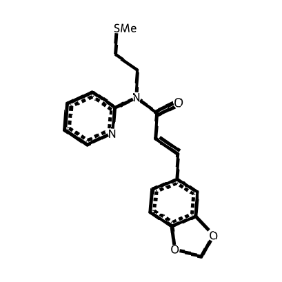 CSCCN(C(=O)/C=C/c1ccc2c(c1)OCO2)c1ccccn1